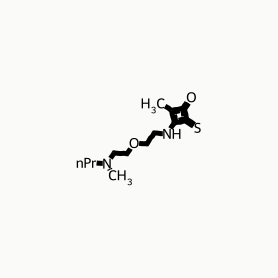 CCCN(C)CCOCCNc1c(C)c(=O)c1=S